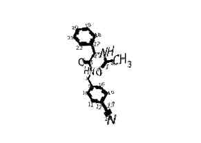 CC(=O)N[C@H](C(=O)NCc1ccc(C#N)cc1)c1ccccc1